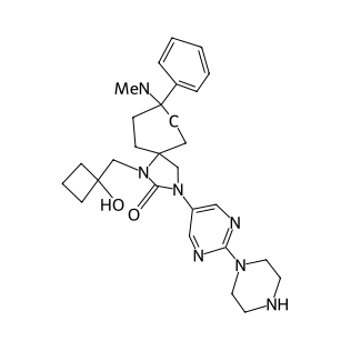 CNC1(c2ccccc2)CCC2(CC1)CN(c1cnc(N3CCNCC3)nc1)C(=O)N2CC1(O)CCC1